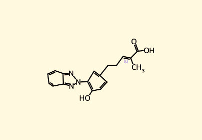 C/C(=C\CCc1ccc(O)c(-n2nc3ccccc3n2)c1)C(=O)O